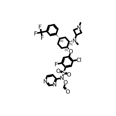 CN1CC(N(C)[C@H]2C[C@@H](c3cccc(C(F)(F)F)c3)CC[C@@H]2Oc2cc(F)c(S(=O)(=O)N(OC=O)c3ccncn3)cc2Cl)C1